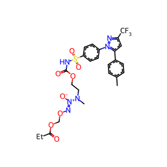 CCC(=O)OCON=[N+]([O-])N(C)CCOC(=O)NS(=O)(=O)c1ccc(-n2nc(C(F)(F)F)cc2-c2ccc(C)cc2)cc1